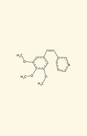 COc1cc(/C=C\c2cccnc2)cc(OC)c1OC